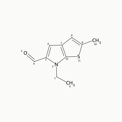 CCn1c(C=O)cc2cc(C)sc21